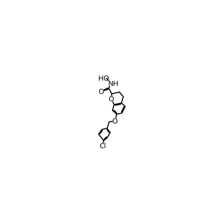 O=C(NO)C1CCc2ccc(OCc3ccc(Cl)cc3)cc2O1